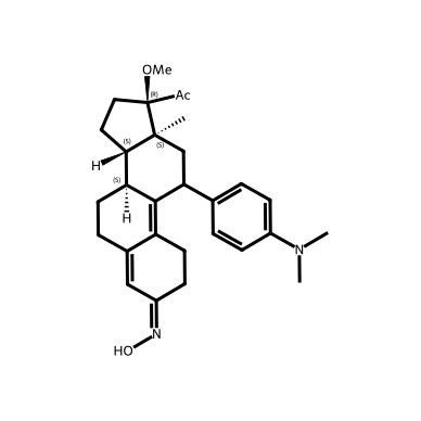 CO[C@]1(C(C)=O)CC[C@H]2[C@@H]3CCC4=CC(=NO)CCC4=C3C(c3ccc(N(C)C)cc3)C[C@@]21C